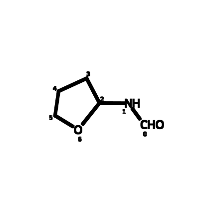 O=CNC1CCCO1